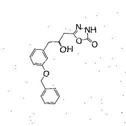 O=c1[nH]nc(CC(O)Cc2cccc(OCc3ccccc3)c2)o1